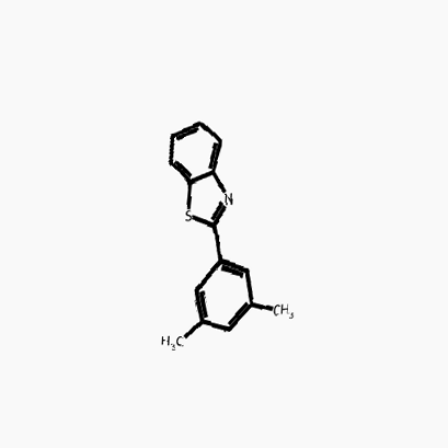 Cc1cc(C)cc(-c2nc3ccccc3s2)c1